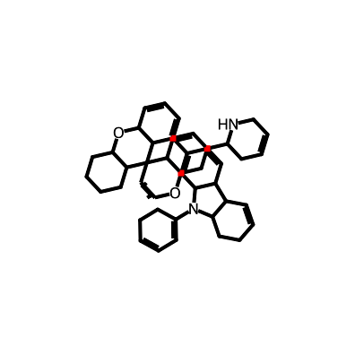 C1=CCCC(N2C3C=C(C4=CC=CC5OC6CCCCC6C6(C7C=CC=CC7OC7CC(C8CC=CCN8)C=CC76)C45)C=CC3C3C=CCCC32)=C1